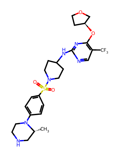 C[C@@H]1CNCCN1c1ccc(S(=O)(=O)N2CCC(Nc3ncc(C(F)(F)F)c(O[C@H]4CCOC4)n3)CC2)cc1